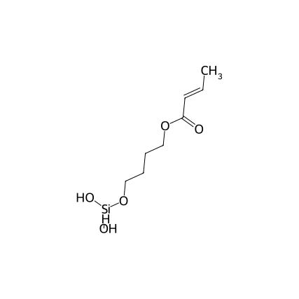 CC=CC(=O)OCCCCO[SiH](O)O